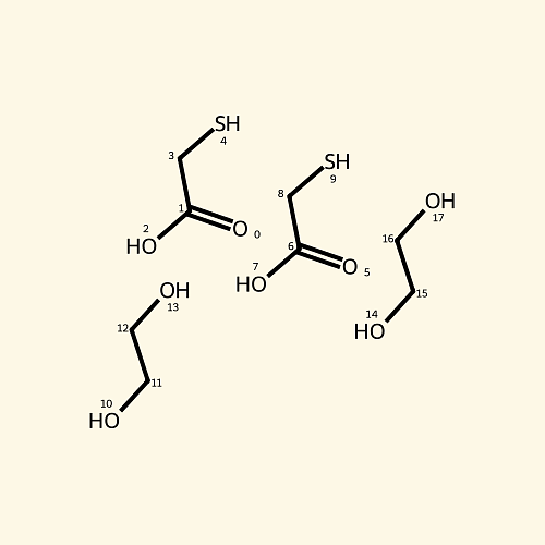 O=C(O)CS.O=C(O)CS.OCCO.OCCO